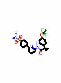 CNS(=O)(=O)c1ccc(-c2cccc(NC(=O)C3(c4ccc(OC(F)(F)F)cc4)CC3)n2)cc1